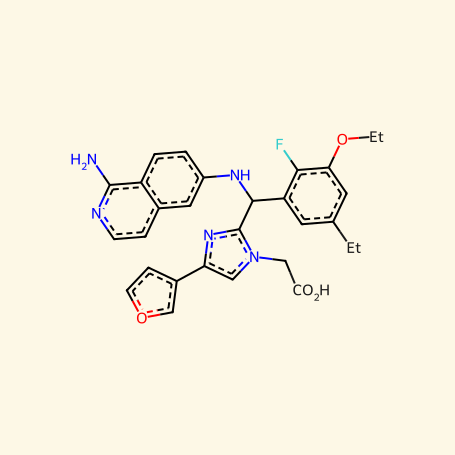 CCOc1cc(CC)cc(C(Nc2ccc3c(N)nccc3c2)c2nc(-c3ccoc3)cn2CC(=O)O)c1F